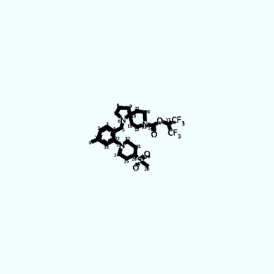 Cc1ccc(CN2CCCC23CCN(C(=O)OC(C(F)(F)F)C(F)(F)F)CC3)c(N2CCC(S(C)(=O)=O)CC2)c1